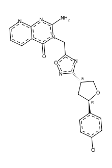 Nc1nc2ncccc2c(=O)n1Cc1nc([C@@H]2CO[C@@H](c3ccc(Cl)cc3)C2)no1